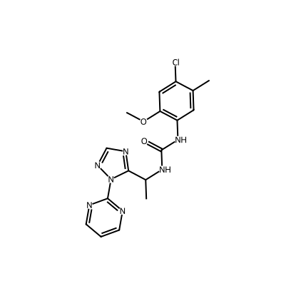 COc1cc(Cl)c(C)cc1NC(=O)NC(C)c1ncnn1-c1ncccn1